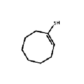 SC1=CCCCCCC1